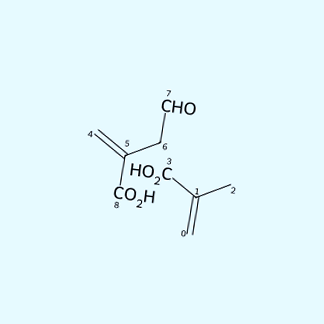 C=C(C)C(=O)O.C=C(CC=O)C(=O)O